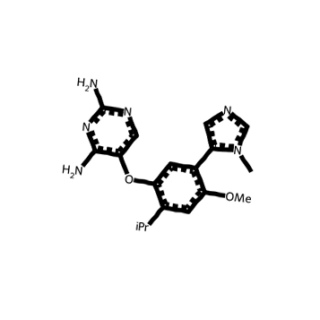 COc1cc(C(C)C)c(Oc2cnc(N)nc2N)cc1-c1cncn1C